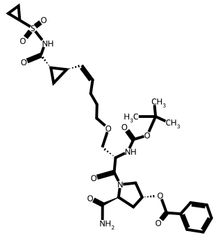 CC(C)(C)OC(=O)N[C@@H](COCCC/C=C\[C@@H]1C[C@@H]1C(=O)NS(=O)(=O)C1CC1)C(=O)N1C[C@H](OC(=O)c2ccccc2)C[C@H]1C(N)=O